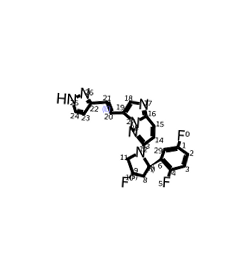 Fc1ccc(F)c([C@H]2C[C@H](F)CN2c2ccc3ncc(/C=C/c4cc[nH]n4)n3n2)c1